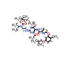 COc1nc(NCCN(C(=O)OC(C)(C)C)C(C)C)nc(OC)c1NC(=O)c1csc(Oc2cc(OCC(C)C)ccc2C)n1